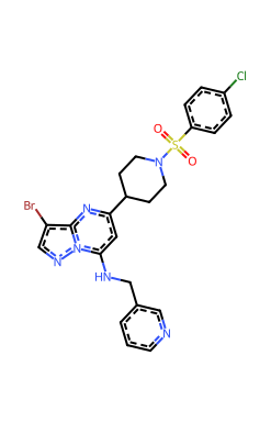 O=S(=O)(c1ccc(Cl)cc1)N1CCC(c2cc(NCc3cccnc3)n3ncc(Br)c3n2)CC1